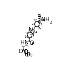 CC(C)(C)OC(=O)CCNC(=O)c1ccc2nc(-c3ccc(C(N)=S)cc3)cn2c1